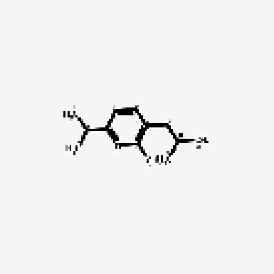 Cc1nc(C(C)C)ccc1CC(C)C